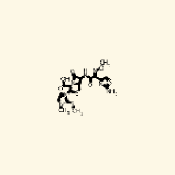 CON=C(C(=O)NC1C(=O)N2C(C(=O)O)=C(n3cc[n+](C)c3SC)SCC12)c1csc(N)n1